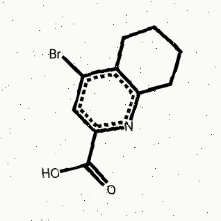 O=C(O)c1cc(Br)c2c(n1)CCCC2